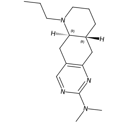 CCCN1CCC[C@@H]2Cc3nc(N(C)C)ncc3C[C@H]21